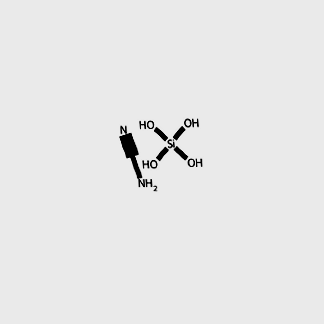 N#CN.O[Si](O)(O)O